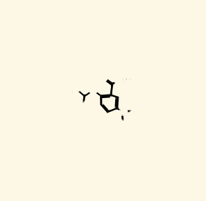 CC[S+]([O-])c1ccc(OC(C)C(F)(F)F)c(C(=O)OC)c1